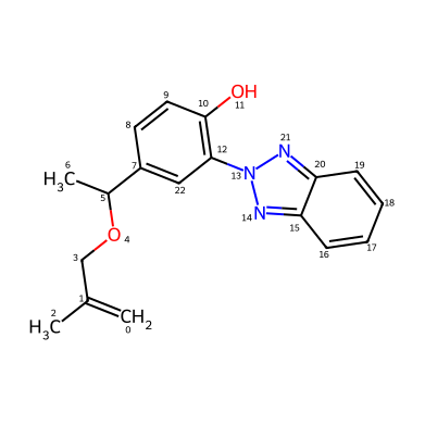 C=C(C)COC(C)c1ccc(O)c(-n2nc3ccccc3n2)c1